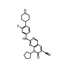 N#Cc1cc2cnc(Nc3ccc(C4CCNCC4)c(F)c3)nc2n(C2CCCC2)c1=O